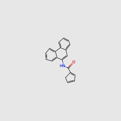 O=C(Nc1cc2ccccc2c2ccccc12)C1=CC=CC1